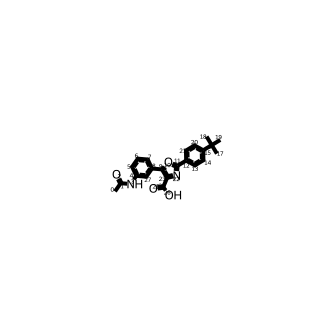 CC(=O)Nc1cccc(-c2oc(-c3ccc(C(C)(C)C)cc3)nc2C(=O)O)c1